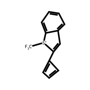 FC(F)(F)[s+]1c(C2=CC=C2)cc2ccccc21